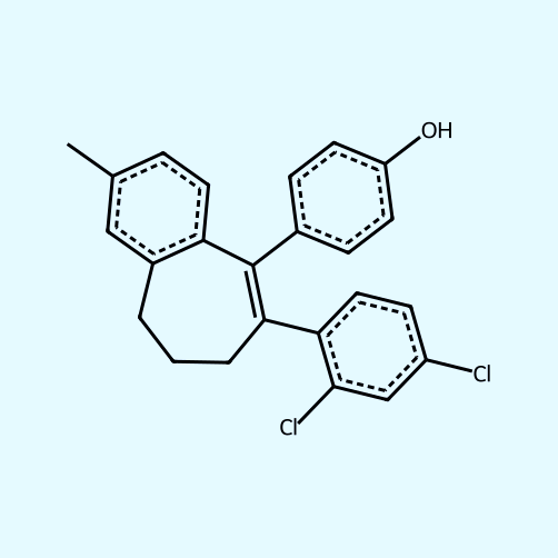 Cc1ccc2c(c1)CCCC(c1ccc(Cl)cc1Cl)=C2c1ccc(O)cc1